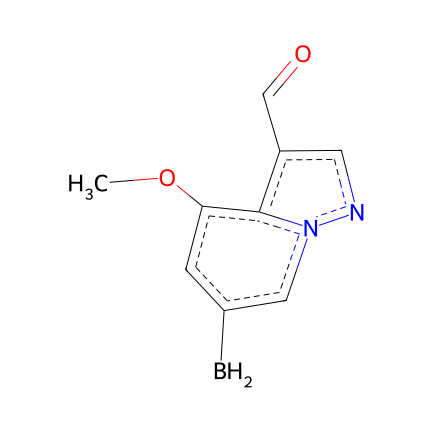 Bc1cc(OC)c2c(C=O)cnn2c1